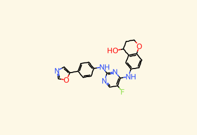 OC1CCOc2ccc(Nc3nc(Nc4ccc(-c5cnco5)cc4)ncc3F)cc21